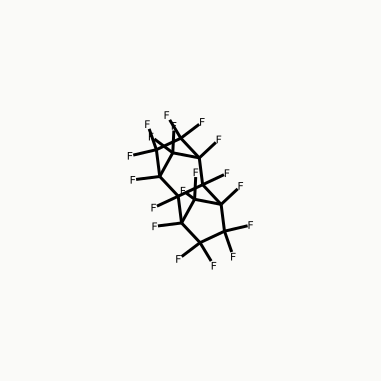 FC1(F)C(F)(F)C2(F)C(F)(F)C1(F)C1(F)C3(F)C(F)(F)C(F)(F)C(F)(C3(F)F)C21F